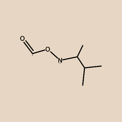 CC(C)C(C)[N]O[C]=O